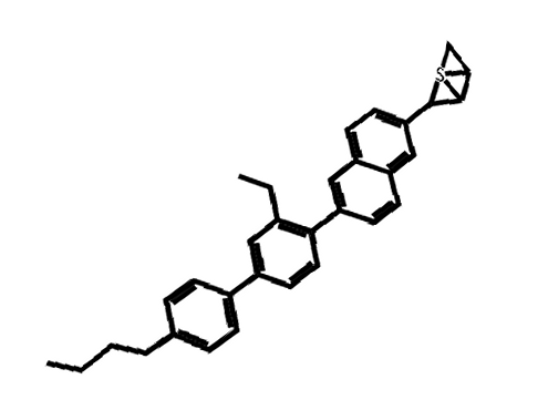 CCCCc1ccc(-c2ccc(-c3ccc4cc(C5C6C7CS756)ccc4c3)c(CC)c2)cc1